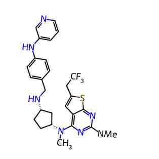 CNc1nc(N(C)[C@@H]2CC[C@H](NCc3ccc(Nc4cccnc4)cc3)C2)c2cc(CC(F)(F)F)sc2n1